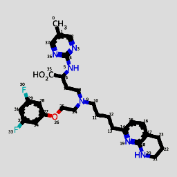 Cc1cnc(NC(CCN(CCCCc2ccc3c(n2)NCCC3)CCOc2cc(F)cc(F)c2)C(=O)O)nc1